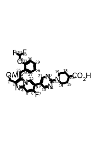 COCc1nc2cc(F)c(-c3cnc(N4CCC(C(=O)O)CC4)nc3)cn2c1Cc1ccccc1OC(F)F